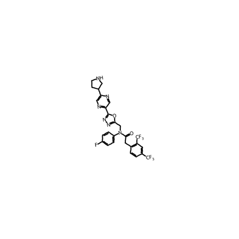 O=C(Cc1ccc(C(F)(F)F)cc1C(F)(F)F)N(Cc1nnc(-c2cnc(C3CCNC3)cn2)o1)c1ccc(F)cc1